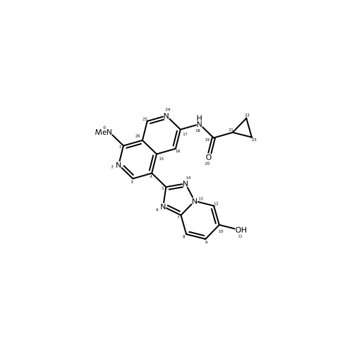 CNc1ncc(-c2nc3ccc(O)cn3n2)c2cc(NC(=O)C3CC3)ncc12